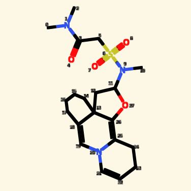 CN(C)C(=O)CS(=O)(=O)N(C)C1CC23CCCCC2=CN2C=CCCC2=C3O1